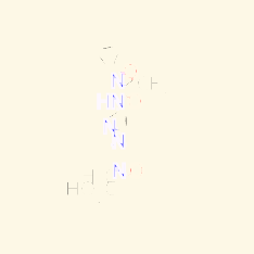 CN(C(=O)[C@H]1CCC[C@@H]1C(=O)O)C1CCN(c2ccc(NC(=O)c3nc(-c4ccccc4)oc3C(F)(F)F)cn2)CC1